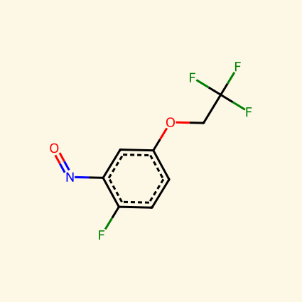 O=Nc1cc(OCC(F)(F)F)ccc1F